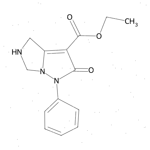 CCOC(=O)c1c2n(n(-c3ccccc3)c1=O)CNC2